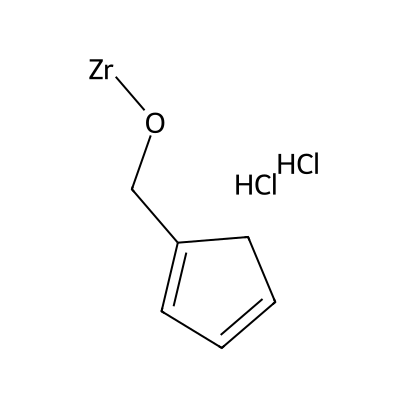 Cl.Cl.[Zr][O]CC1=CC=CC1